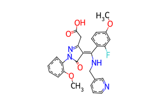 COc1ccc(C(NCc2cccnc2)=C2C(=O)N(c3ccccc3OC)N=C2CC(=O)O)c(F)c1